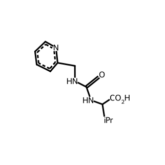 CC(C)C(NC(=O)NCc1ccccn1)C(=O)O